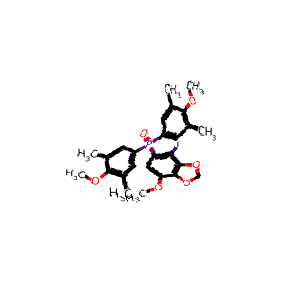 COc1cc(P(=O)(c2cc(C)c(OC)c(C)c2)c2cc(C)c(OC)c(C)c2)c(I)c2c1OCO2